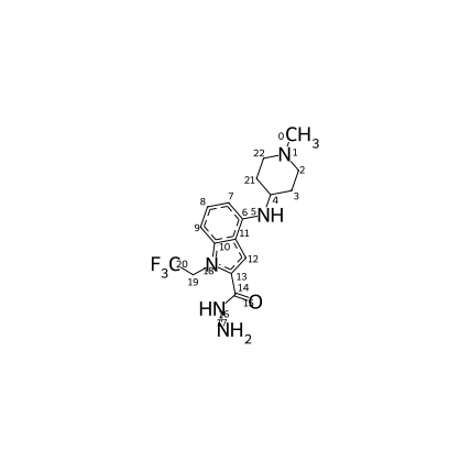 CN1CCC(Nc2cccc3c2cc(C(=O)NN)n3CC(F)(F)F)CC1